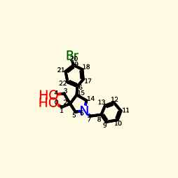 OCC1(CO)CN(Cc2ccccc2)CC1c1ccc(Br)cc1